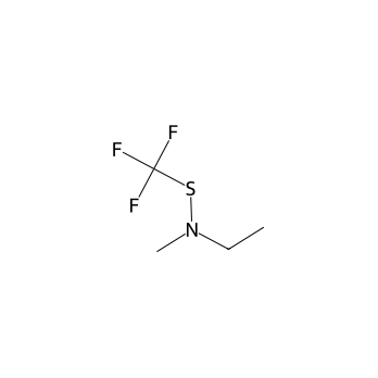 CCN(C)SC(F)(F)F